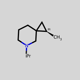 CC(C)N1CCCC2(C[C@H]2C)C1